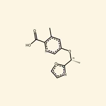 Cc1cc(O[C@H](C)c2ncco2)cnc1C(=O)O